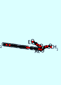 C=C=C=C=C=C=C=C=C=C=C=C=C=C=C=C=C=C=C=C=C=C=C=C=C=C=C=C=C=C=C=C=C=C=C=C(N(CCC(=O)OCC1CC2CC1C1CC(COC(=O)C=C)CC21)C(C)=O)N(CCC(=O)OCC1CC2CC1C1CC(COC(=O)CC)CC21)C(C)=O